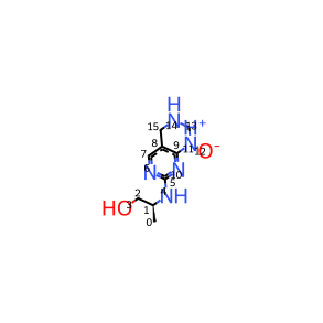 C[C@@H](CO)Nc1ncc2c(n1)[NH+]([O-])CNC2